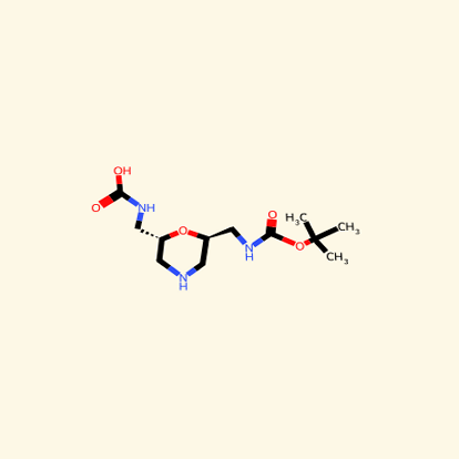 CC(C)(C)OC(=O)NC[C@H]1CNC[C@H](CNC(=O)O)O1